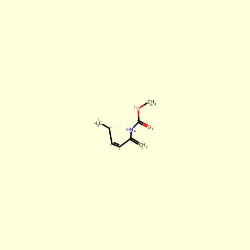 C=C(/C=C\CC)NC(=O)OC